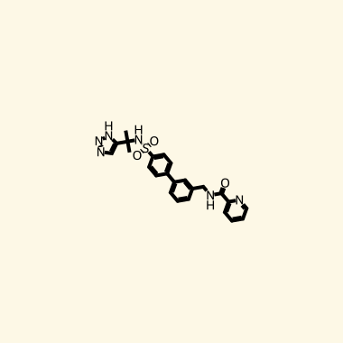 CC(C)(NS(=O)(=O)c1ccc(-c2cccc(CNC(=O)c3ccccn3)c2)cc1)c1cnn[nH]1